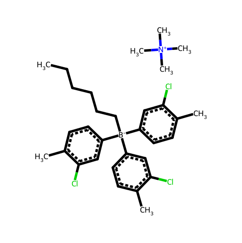 CCCCCC[B-](c1ccc(C)c(Cl)c1)(c1ccc(C)c(Cl)c1)c1ccc(C)c(Cl)c1.C[N+](C)(C)C